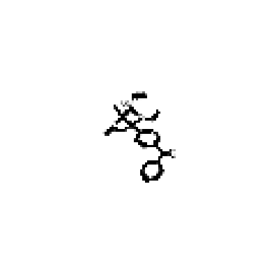 C=CC[C@]1(c2ccc(C(=O)c3ccccc3)cc2)P(C=C)[C@@H](C=C)C1(C)C